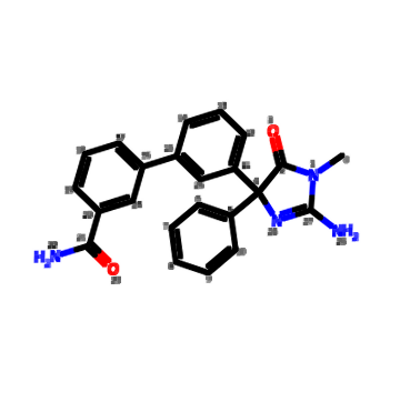 CN1C(=O)C(c2ccccc2)(c2cccc(-c3cccc(C(N)=O)c3)c2)N=C1N